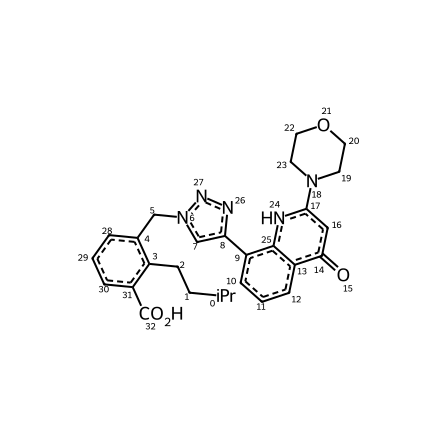 CC(C)CCc1c(Cn2cc(-c3cccc4c(=O)cc(N5CCOCC5)[nH]c34)nn2)cccc1C(=O)O